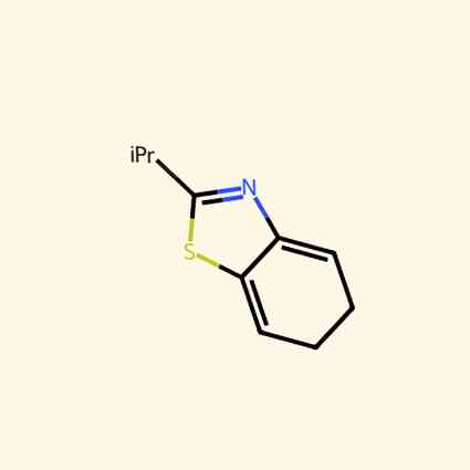 CC(C)c1nc2c(s1)=CCCC=2